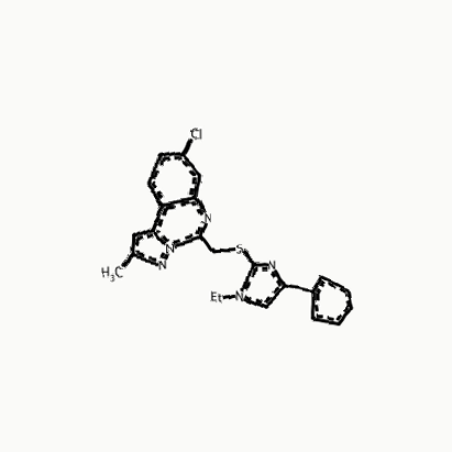 CCn1cc(-c2ccccc2)nc1SCc1nc2cc(Cl)ccc2c2cc(C)nn12